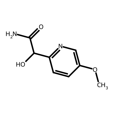 COc1ccc(C(O)C(N)=O)nc1